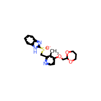 Cc1c(OCC2OCCCO2)ccnc1C[S+]([O-])c1nc2ccccc2[nH]1